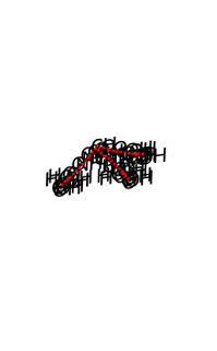 CC(COCCC(=O)NCCCNC(=O)CCCCOC(O)C(O)C(O)C(O)CCOP(=O)(O)O)(COCCC(=O)NCCCNC(=O)CCCCOC(O)C(O)C(O)C(O)CCOP(=O)(O)O)COCCC(=O)NCCCNC(=O)CCCCOC(O)C(O)[C@H](O)C(O)CCOP(=O)(O)O